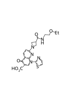 CCOCCNC(=O)C1CN(c2ccc3c(=O)c(C(=O)O)cn(-c4nccs4)c3n2)C1